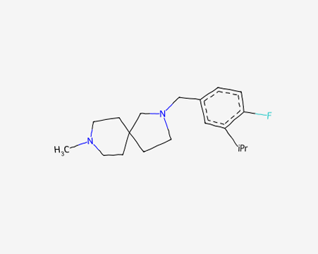 CC(C)c1cc(CN2CCC3(CCN(C)CC3)C2)ccc1F